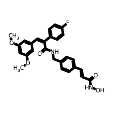 COc1cc(C=C(C(=O)NCc2ccc(C=CC(=O)NO)cc2)c2ccc(F)cc2)cc(OC)c1